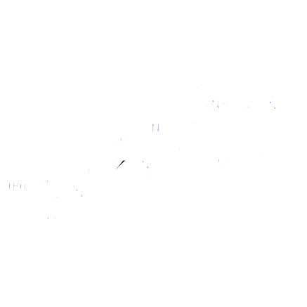 CC(C)(C)OC(=O)N1CC[C@H](C(=O)Nc2nc3c(s2)C(C(=O)c2cccnc2)NCC3)C1